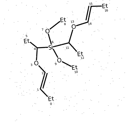 CCC=COC(CC)[Si](OCC)(OCC)C(CC)OC=CCC